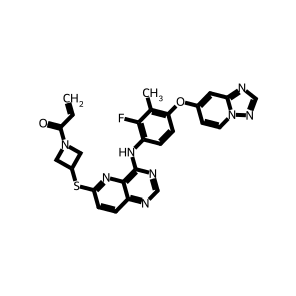 C=CC(=O)N1CC(Sc2ccc3ncnc(Nc4ccc(Oc5ccn6ncnc6c5)c(C)c4F)c3n2)C1